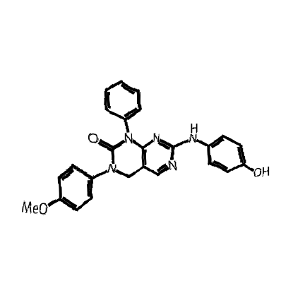 COc1ccc(N2Cc3cnc(Nc4ccc(O)cc4)nc3N(c3ccccc3)C2=O)cc1